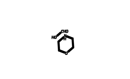 C1COCCN1.O=CO